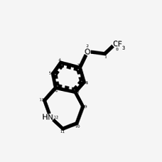 FC(F)(F)COc1ccc2c(c1)CCCNC2